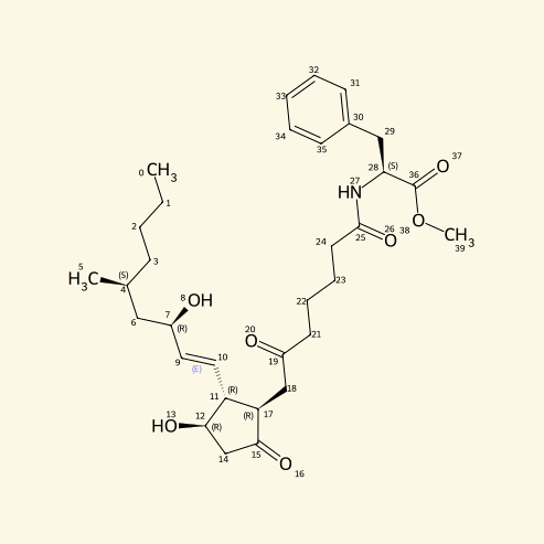 CCCC[C@H](C)C[C@@H](O)/C=C/[C@H]1[C@H](O)CC(=O)[C@@H]1CC(=O)CCCCC(=O)N[C@@H](Cc1ccccc1)C(=O)OC